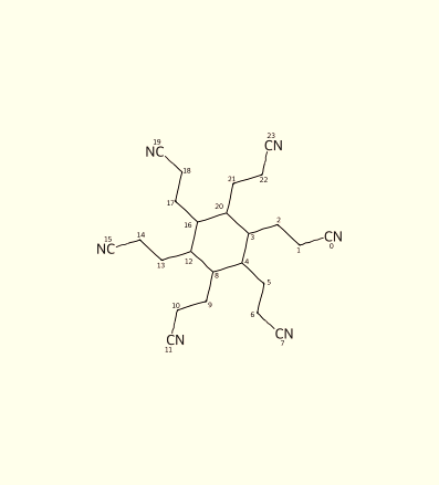 N#CCCC1C(CCC#N)C(CCC#N)C(CCC#N)C(CCC#N)C1CCC#N